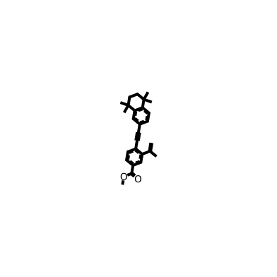 C=C(C)c1cc(C(=O)OC)ccc1C#Cc1ccc2c(c1)C(C)(C)CCC2(C)C